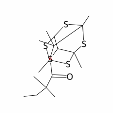 CCC(C)(C)C(=O)SC1C2SC3(C)SC1(C)SC(C)(S2)C3(C)C